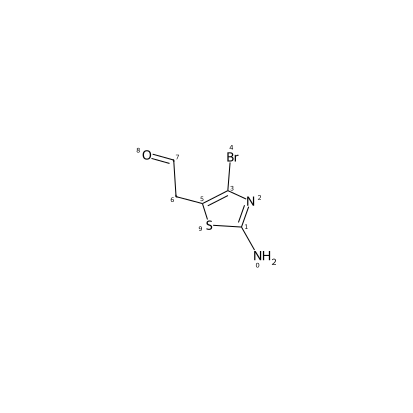 Nc1nc(Br)c(CC=O)s1